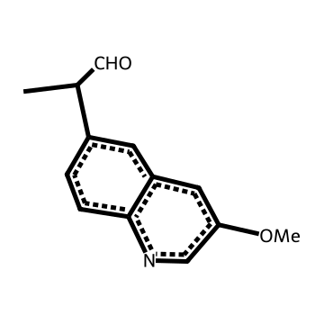 COc1cnc2ccc(C(C)C=O)cc2c1